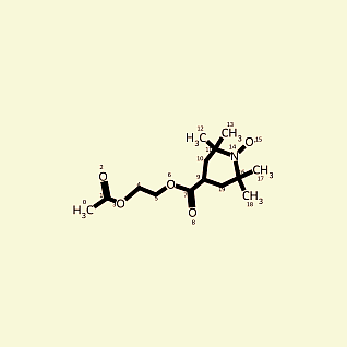 CC(=O)OCCOC(=O)C1CC(C)(C)N([O])C(C)(C)C1